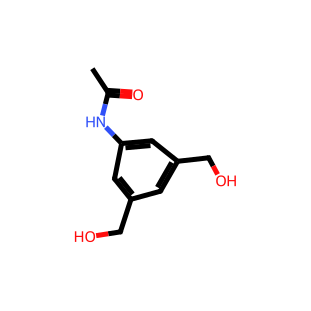 CC(=O)Nc1cc(CO)cc(CO)c1